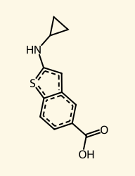 O=C(O)c1ccc2sc(NC3CC3)cc2c1